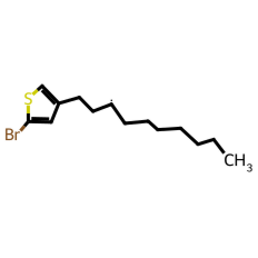 CCCCCCC[CH]CCc1csc(Br)c1